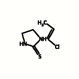 CC=CCl.S=C1NCCN1